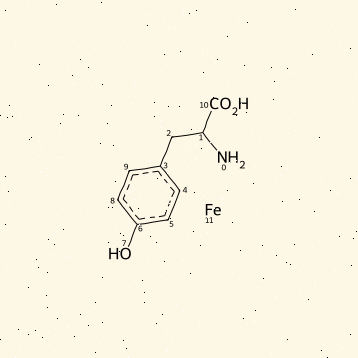 NC(Cc1ccc(O)cc1)C(=O)O.[Fe]